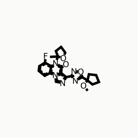 COC1(c2nc(-c3ncn4c3c(=O)n(C3(C)CCCO3)c3c(F)cccc34)no2)CCCC1